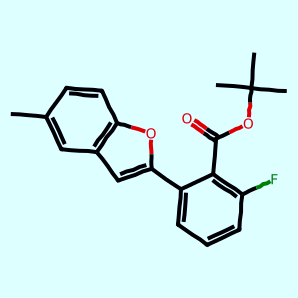 Cc1ccc2oc(-c3cccc(F)c3C(=O)OC(C)(C)C)cc2c1